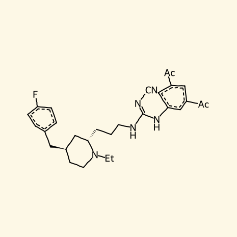 CCN1CC[C@@H](Cc2ccc(F)cc2)C[C@@H]1CCCNC(=NC#N)Nc1cc(C(C)=O)cc(C(C)=O)c1